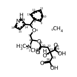 C.CN(C)C(COC(c1ccccc1)c1ccn[nH]1)OC(=O)CC(O)(CC(=O)O)C(=O)O